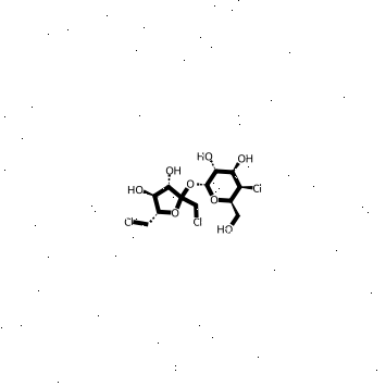 OC[C@H]1O[C@H](OC2(CCl)O[C@H](CCl)[C@@H](O)[C@@H]2O)[C@H](O)[C@@H](O)[C@H]1Cl